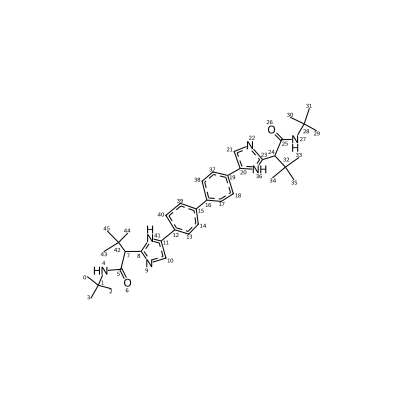 CC(C)(C)NC(=O)C(c1ncc(-c2ccc(-c3ccc(-c4cnc(C(C(=O)NC(C)(C)C)C(C)(C)C)[nH]4)cc3)cc2)[nH]1)C(C)(C)C